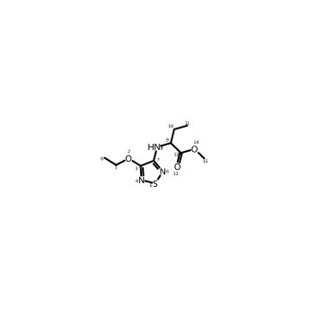 CCOc1nsnc1NC(CC)C(=O)OC